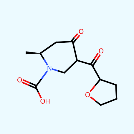 C[C@H]1CC(=O)C(C(=O)C2CCCO2)CN1C(=O)O